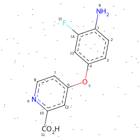 Nc1ccc(Oc2ccnc(C(=O)O)c2)cc1F